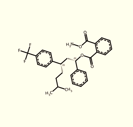 CC(C)CC[C@@H](C[C@H](OC(=O)c1ccccc1C(=O)ON)c1ccccc1)c1ccc(C(F)(F)F)cc1